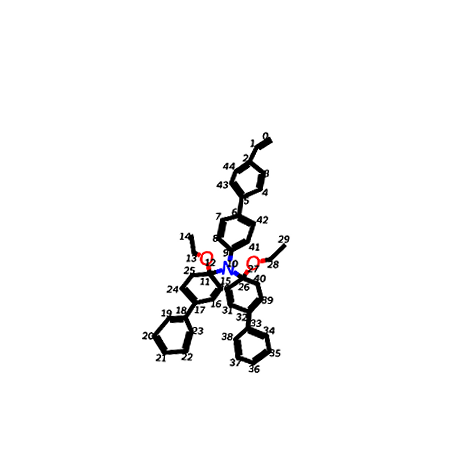 C=Cc1ccc(-c2ccc(N(C3(OCC)C=CC(c4ccccc4)=CC3)C3(OCC)C=CC(c4ccccc4)=CC3)cc2)cc1